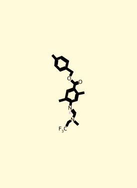 Cc1ccc(COC(=O)c2cc(C)c(/N=C/N(C)CC(F)(F)F)cc2C)cc1